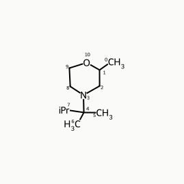 CC1CN(C(C)(C)C(C)C)CCO1